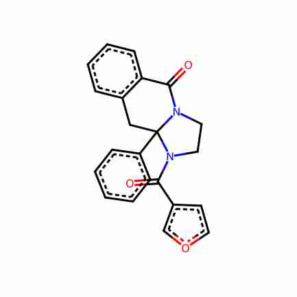 O=C(c1ccoc1)N1CCN2C(=O)c3ccccc3CC12c1ccccc1